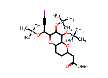 COC(=O)CC1CCC2OC(C(C#CI)O[Si](C)(C)C(C)(C)C)C(O[Si](C)(C)C(C)(C)C)C(O[Si](C)(C)C(C)(C)C)[C@H]2O1